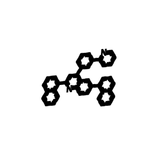 c1ccc(-c2cccc(-c3cc(-c4cccc5ccccc45)nc4ccc(-c5cccc6ccccc56)cc34)c2)nc1